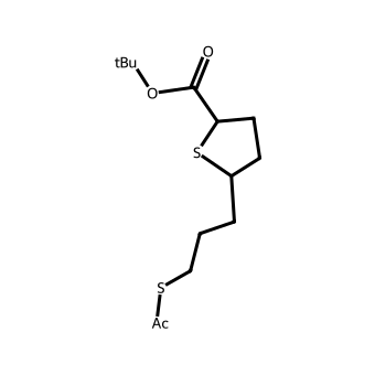 CC(=O)SCCCC1CCC(C(=O)OC(C)(C)C)S1